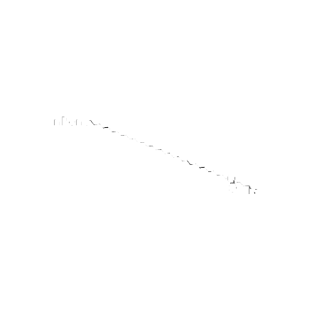 CCCCCC=CCC=CCCCCCCCCCCCCCCCCCC=CCC=CCCCCCOC(=O)CCCN(C)C